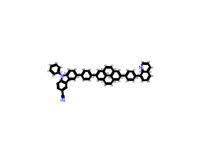 N#Cc1ccc2c(c1)c1cc(-c3ccc(-c4cc5ccc6cc(-c7ccc(-c8cccc9cccnc89)cc7)cc7ccc(c4)c5c67)cc3)ccc1n2-c1ccccc1